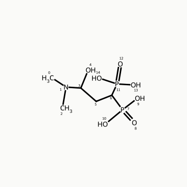 CN(C)C(O)CC(P(=O)(O)O)P(=O)(O)O